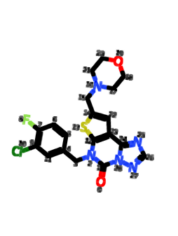 O=c1n(Cc2ccc(F)c(Cl)c2)c2sc(CN3CCOCC3)cc2c2ncnn12